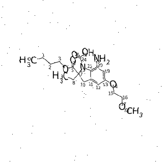 CCCCOC(=O)C1(CC)Cc2cc(OCCOC)cc(N)c2N1C(=O)O